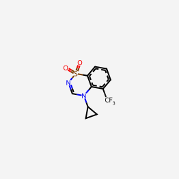 O=S1(=O)N=CN(C2CC2)c2c(C(F)(F)F)cccc21